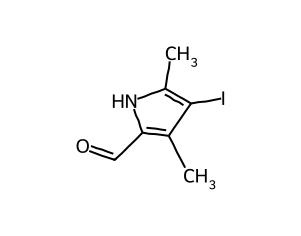 Cc1[nH]c(C=O)c(C)c1I